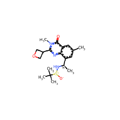 Cc1cc([C@@H](C)N[S+]([O-])C(C)(C)C)c2nc(C3COC3)n(C)c(=O)c2c1